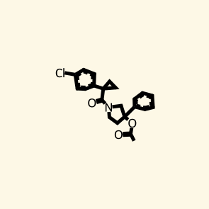 CC(=O)OC1(c2ccccc2)CCN(C(=O)C2(c3ccc(Cl)cc3)CC2)C1